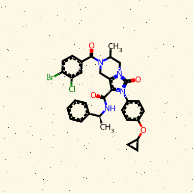 CC1Cn2c(c(C(=O)N[C@@H](C)c3ccccc3)n(-c3ccc(OC4CC4)cc3)c2=O)CN1C(=O)c1ccc(Br)c(Cl)c1